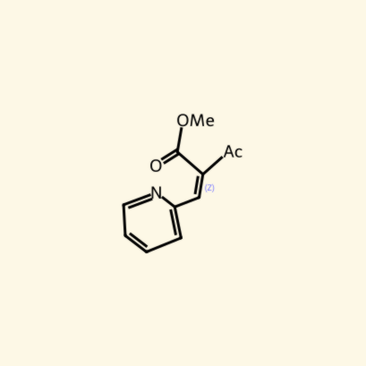 COC(=O)/C(=C\c1ccccn1)C(C)=O